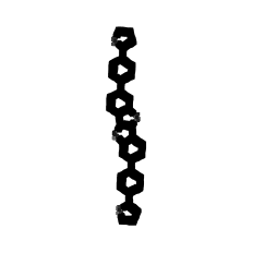 c1csc(-c2ccc(-c3ccc4c(c3)sc3c5ccc(-c6ccc(-c7cccs7)cc6)cc5sc43)cc2)c1